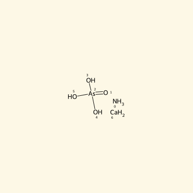 N.O=[As](O)(O)O.[CaH2]